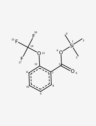 C[Si](C)(C)OC(=O)c1ccccc1OC(F)(F)F